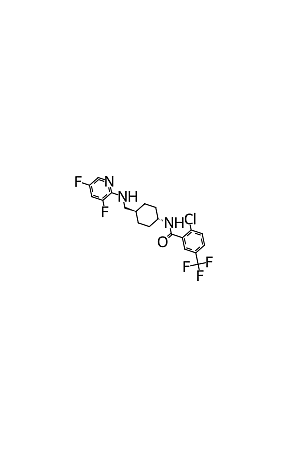 O=C(N[C@H]1CC[C@H](CNc2ncc(F)cc2F)CC1)c1cc(C(F)(F)F)ccc1Cl